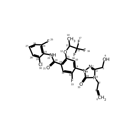 C=CCn1c(CO)nn(-c2cc(OC(C)C(F)(F)F)c(C(=O)Nc3c(F)cccc3Cl)cc2F)c1=O